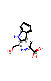 N[C@@H](C[C@H]1c2ccccc2N[C@H]1CCO)C(=O)O